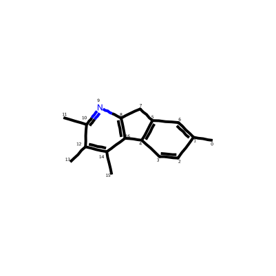 Cc1ccc2c(c1)Cc1nc(C)c(C)c(C)c1-2